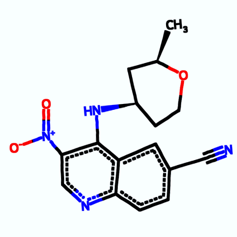 C[C@@H]1C[C@H](Nc2c([N+](=O)[O-])cnc3ccc(C#N)cc23)CCO1